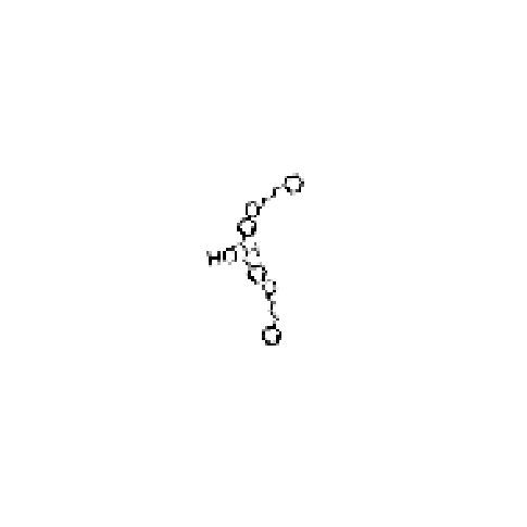 OCC(c1ccc(OCCCCc2ccccc2)cc1)C(I)Cc1ccc(OCCCCc2ccccc2)cc1